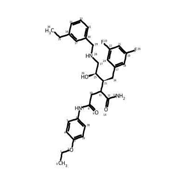 CCOc1ccc(NC(=O)CC(C(N)=O)[C@H](Cc2cc(F)cc(F)c2)[C@@H](O)CNCc2cccc(CC)c2)cc1